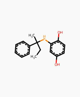 CCC(C)(Pc1cc(O)ccc1O)c1ccccc1